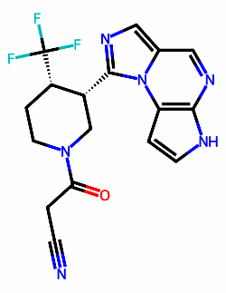 N#CCC(=O)N1CC[C@H](C(F)(F)F)[C@H](c2ncc3cnc4[nH]ccc4n23)C1